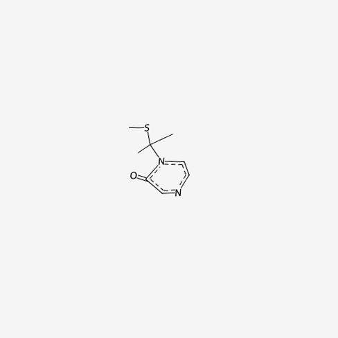 CSC(C)(C)n1ccncc1=O